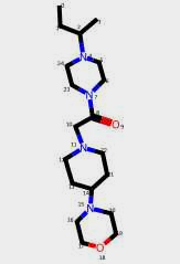 CCC(C)N1CCN(C(=O)CN2CCC(N3CCOCC3)CC2)CC1